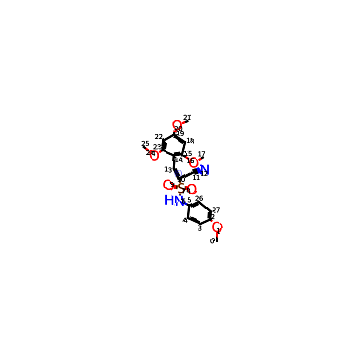 COc1ccc(NS(=O)(=O)/C(C#N)=C/c2c(OC)cc(OC)cc2OC)cc1